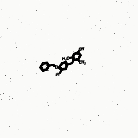 Cc1cc(O)cc(C)c1Cc1ccc(OCc2ccccc2)c(C(C)C)c1